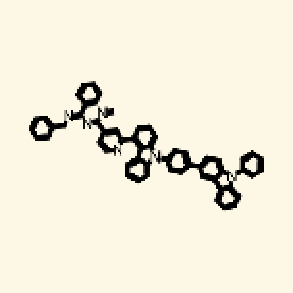 C=N/C(=N\C(=N/Cc1ccccc1)c1ccccc1)c1ccnc(-c2cccc3c2c2ccccc2n3-c2ccc(-c3ccc4c(c3)c3ccccc3n4-c3ccccc3)cc2)c1